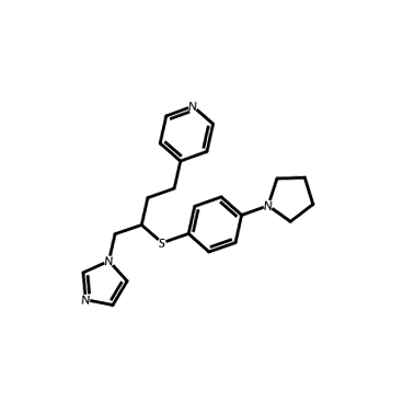 c1cc(CCC(Cn2ccnc2)Sc2ccc(N3CCCC3)cc2)ccn1